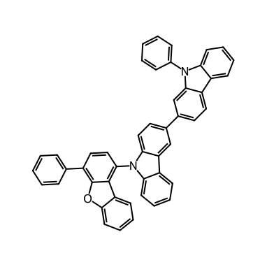 c1ccc(-c2ccc(-n3c4ccccc4c4cc(-c5ccc6c7ccccc7n(-c7ccccc7)c6c5)ccc43)c3c2oc2ccccc23)cc1